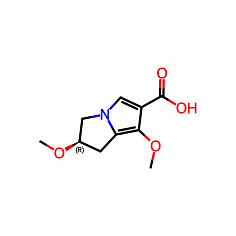 COc1c(C(=O)O)cn2c1C[C@@H](OC)C2